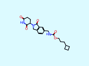 O=C1CCC(N2Cc3ccc(CNC(=O)OCCCC4CCC4)cc3C2=O)C(=O)N1